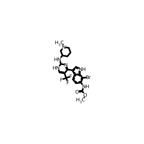 COC(=O)Nc1ccc2c(C3=NC(NC4CCCN(C)C4)NC=C3C(F)(F)F)c[nH]c2c1Br